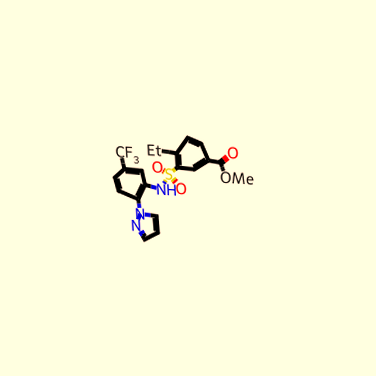 CCc1ccc(C(=O)OC)cc1S(=O)(=O)Nc1cc(C(F)(F)F)ccc1-n1cccn1